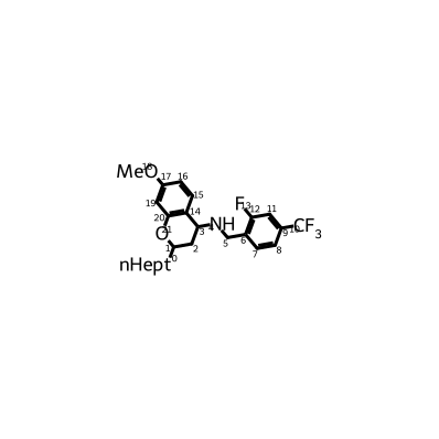 CCCCCCCC1CC(NCc2ccc(C(F)(F)F)cc2F)c2ccc(OC)cc2O1